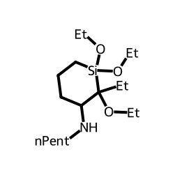 CCCCCNC1CCC[Si](OCC)(OCC)C1(CC)OCC